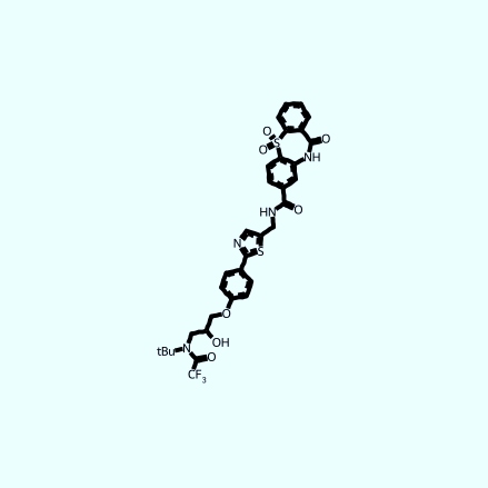 CC(C)(C)N(CC(O)COc1ccc(-c2ncc(CNC(=O)c3ccc4c(c3)NC(=O)c3ccccc3S4(=O)=O)s2)cc1)C(=O)C(F)(F)F